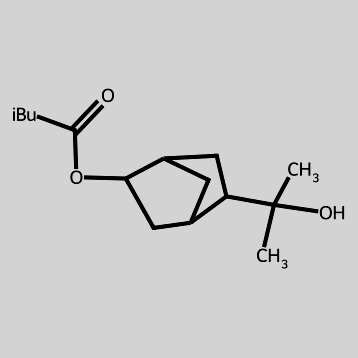 CCC(C)C(=O)OC1CC2CC1CC2C(C)(C)O